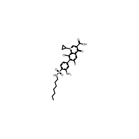 CCCCCCCNS(=O)(=O)c1ccc(-c2c(F)cc3c(=O)c(C(=O)O)cn(C4CC4)c3c2Cl)cc1N